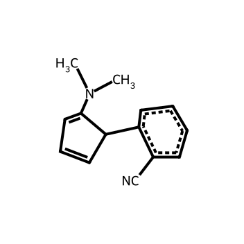 CN(C)C1=CC=CC1c1ccccc1C#N